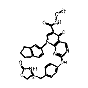 CCONC(=O)c1cn(-c2ccc3c(c2)CCC3)c2nc(Nc3ccc(C[C@H]4COC(=O)N4)cc3)ncc2c1=O